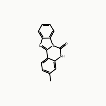 Cc1ccc2c(c1)[nH]c(=O)n1c3ccccc3nc21